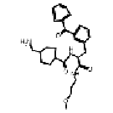 COCCCNC(=O)[C@H](Cc1cccc(C(=O)c2ccccc2)c1)NC(=O)C1CCC(CN)CC1